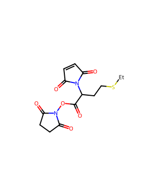 CCSCCC(C(=O)ON1C(=O)CCC1=O)N1C(=O)C=CC1=O